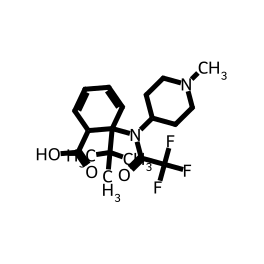 CN1CCC(N(C(=O)C(F)(F)F)C2(C(C)(C)C)C=CC=CC2C(=O)O)CC1